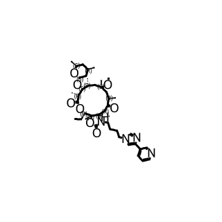 CC[C@H]1OC(=O)[C@H](C)[C@@H](O[C@H]2C[C@H](C)C[C@H](C)O2)[C@H](C)C[C@](C)(OC)C[C@@H](C)C(=O)[C@H](C)[C@H]2N(CCCCn3cnc(-c4cccnc4)c3)C(=O)O[C@]12C